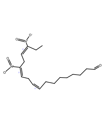 CC/C(=C\C/C(=C\C/C=C\CCCCCCC[C]=O)[N+](=O)[O-])[N+](=O)[O-]